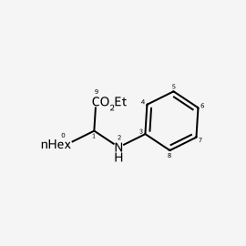 CCCCCCC(Nc1ccccc1)C(=O)OCC